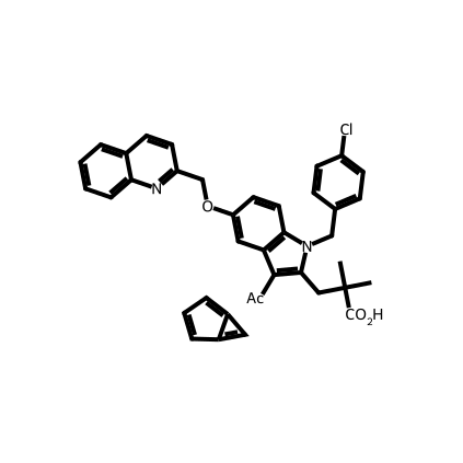 CC(=O)c1c(CC(C)(C)C(=O)O)n(Cc2ccc(Cl)cc2)c2ccc(OCc3ccc4ccccc4n3)cc12.c1cc2cc-2c1